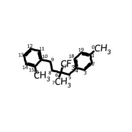 Cc1ccc(CC(C)(CCc2ccccc2C)C(F)(F)F)cc1